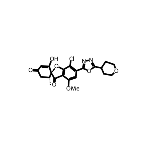 COc1cc(-c2nnc(C3CCOCC3)o2)c(Cl)c2c1C(=O)[C@@]1(O2)C(O)=CC(=O)C[C@H]1C